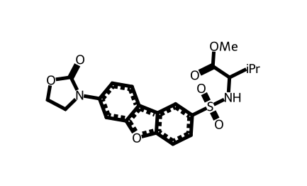 COC(=O)C(NS(=O)(=O)c1ccc2oc3cc(N4CCOC4=O)ccc3c2c1)C(C)C